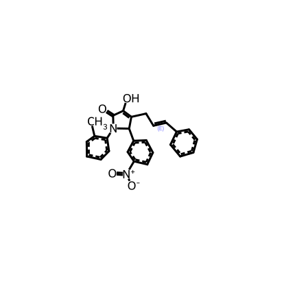 Cc1ccccc1N1C(=O)C(O)=C(C/C=C/c2ccccc2)C1c1cccc([N+](=O)[O-])c1